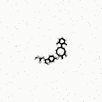 C=C1/C(F)=C\C=C(\c2c(C)cccc2C)CCC[C@H]1Oc1ccc2c(c1)OC[C@H]2CC(=O)OC